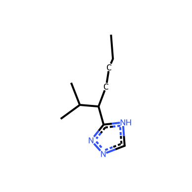 CCCCC(c1nnc[nH]1)C(C)C